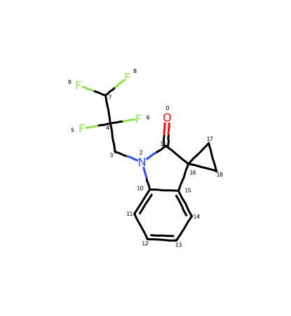 O=C1N(CC(F)(F)C(F)F)c2ccccc2C12CC2